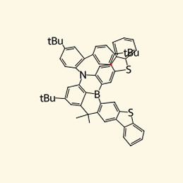 CC(C)(C)c1ccc(-c2cc(C(C)(C)C)ccc2N2c3cc4c(cc3B3c5cc6sc7ccccc7c6cc5C(C)(C)c5cc(C(C)(C)C)cc2c53)sc2ccccc24)cc1